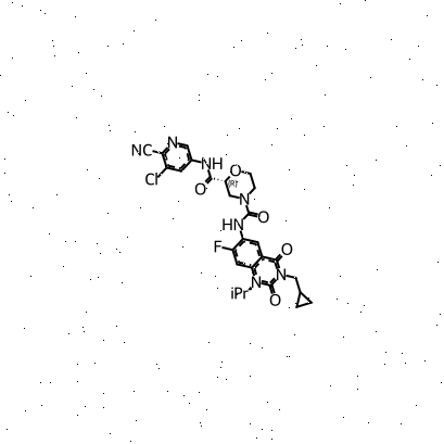 CC(C)n1c(=O)n(CC2CC2)c(=O)c2cc(NC(=O)N3CCO[C@@H](C(=O)Nc4cnc(C#N)c(Cl)c4)C3)c(F)cc21